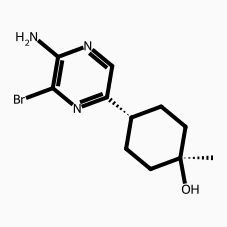 C[C@]1(O)CC[C@H](c2cnc(N)c(Br)n2)CC1